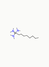 CCCCCCCC[Si](N(C)C)(N(C)C)N(C)C